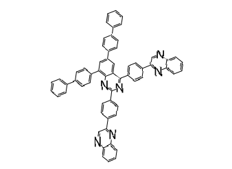 c1ccc(-c2ccc(-c3cc(-c4ccc(-c5ccccc5)cc4)c4nc(-c5ccc(-c6cnc7ccccc7n6)cc5)nc(-c5ccc(-c6cnc7ccccc7n6)cc5)c4c3)cc2)cc1